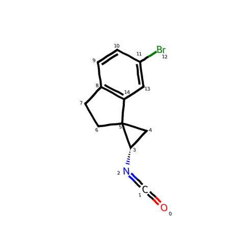 O=C=N[C@H]1CC12CCc1ccc(Br)cc12